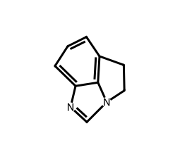 c1cc2c3c(c1)ncn3CC2